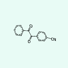 N#Cc1ccc(C(=O)C(=O)c2ccccc2)cc1